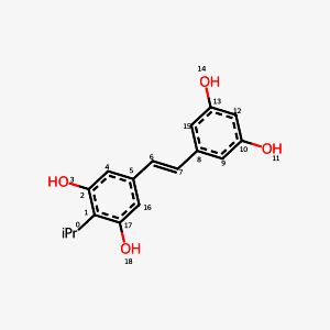 CC(C)c1c(O)cc(/C=C/c2cc(O)cc(O)c2)cc1O